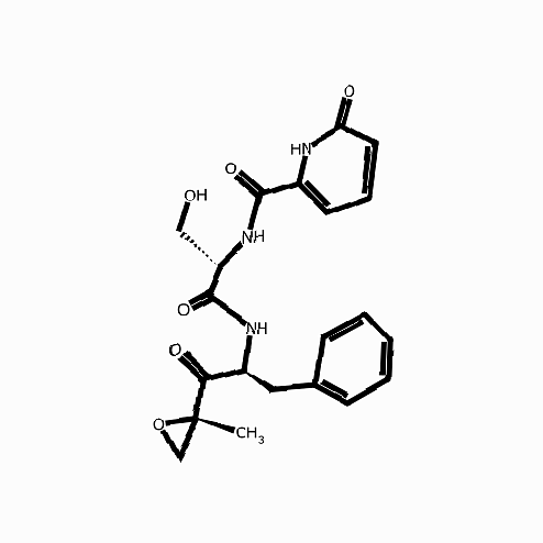 C[C@@]1(C(=O)[C@H](Cc2ccccc2)NC(=O)[C@H](CO)NC(=O)c2cccc(=O)[nH]2)CO1